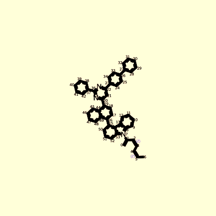 C=C(/C=C\C=C/C)n1c2ccccc2c2c(-c3ccc(-c4cc(-c5ccc(-c6ccccc6)cc5)nc(-c5ccccc5)n4)c4ccccc34)cccc21